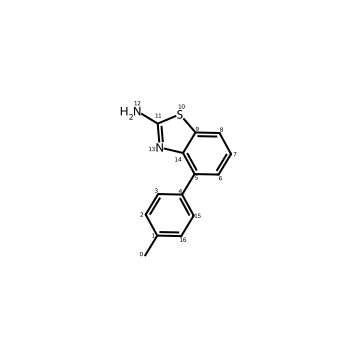 Cc1ccc(-c2cccc3sc(N)nc23)cc1